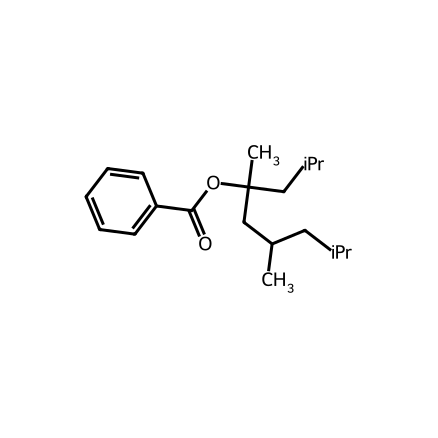 CC(C)CC(C)CC(C)(CC(C)C)OC(=O)c1ccccc1